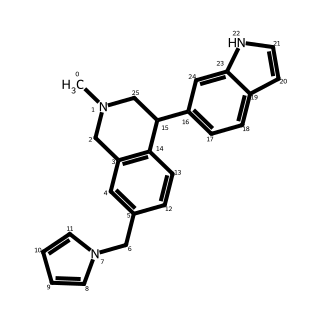 CN1Cc2cc(Cn3cccc3)ccc2C(c2ccc3cc[nH]c3c2)C1